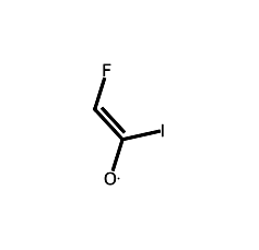 [O]C(I)=CF